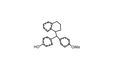 COc1ccc(C(c2ccc(O)cc2)C2CCCc3ccccc32)cc1